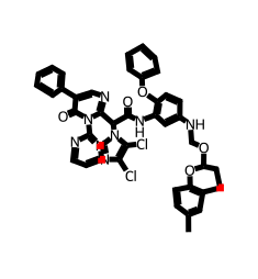 CCC(OCNc1ccc(Oc2ccccc2)c(NC(=O)C(c2ncc(-c3ccccc3)c(=O)n2-c2ncccn2)n2cnc(Cl)c2Cl)c1)Oc1ccc(C)cc1C